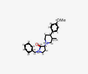 COc1ccc(C2CCN(C3CCN(Cc4ccccc4)C3=O)CC2C)cc1